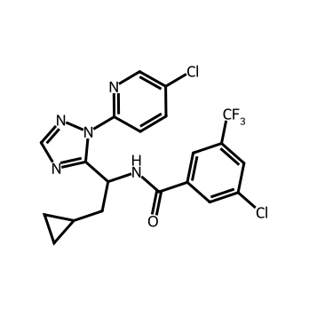 O=C(NC(CC1CC1)c1ncnn1-c1ccc(Cl)cn1)c1cc(Cl)cc(C(F)(F)F)c1